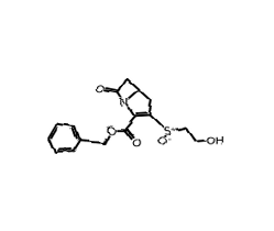 O=C(OCc1ccccc1)C1=C([S+]([O-])CCO)CC2CC(=O)N12